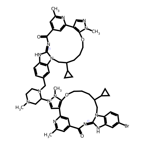 Cc1cc2cc(n1)-c1cnn(C)c1OCCCC(C1CC1)CN1/C(=N/C2=O)Nc2ccc(CN3CCN(C)CC3[n+]3cc4c(n3C)OCCCC(C3CC3)CN3/C(=N/C(=O)c5cc(C)nc-4c5)Nc4cc(Br)ccc43)cc21